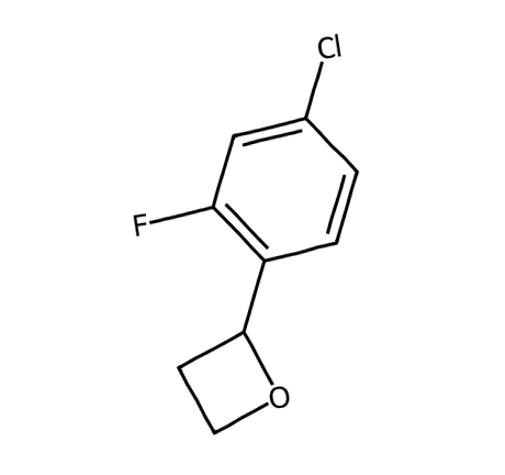 Fc1cc(Cl)ccc1C1CCO1